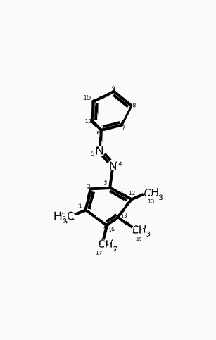 Cc1cc(N=Nc2ccccc2)c(C)c(C)c1C